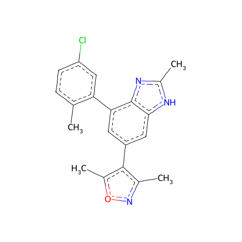 Cc1nc2c(-c3cc(Cl)ccc3C)cc(-c3c(C)noc3C)cc2[nH]1